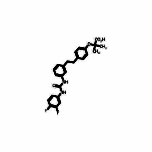 CC(C)(Oc1ccc(CCc2cccc(NC(=O)Nc3ccc(F)c(F)c3)c2)cc1)C(=O)O